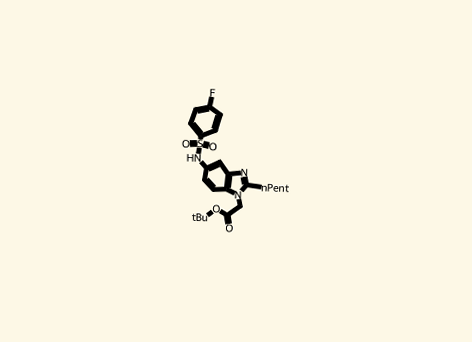 CCCCCc1nc2cc(NS(=O)(=O)c3ccc(F)cc3)ccc2n1CC(=O)OC(C)(C)C